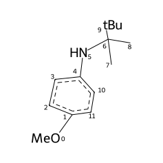 COc1ccc(NC(C)(C)C(C)(C)C)cc1